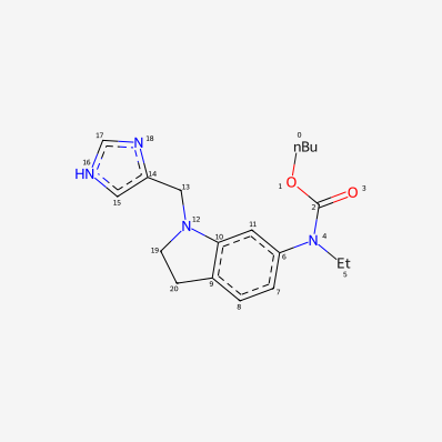 CCCCOC(=O)N(CC)c1ccc2c(c1)N(Cc1c[nH]cn1)CC2